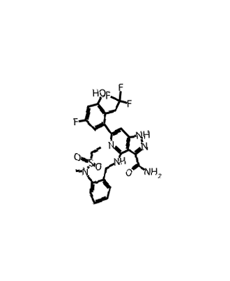 CCS(=O)(=O)N(C)c1ccccc1CNc1nc(-c2cc(F)cc(O)c2CC(F)(F)F)cc2[nH]nc(C(N)=O)c12